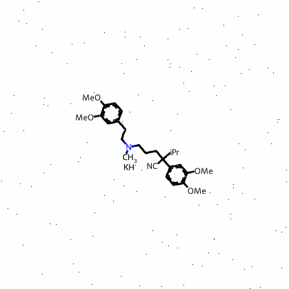 COc1ccc(CCN(C)CCCC(C#N)(c2ccc(OC)c(OC)c2)C(C)C)cc1OC.[KH]